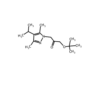 Cc1nn(CC(=O)COC(C)(C)C)c(C)c1C(C)C